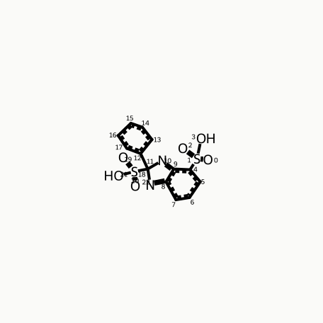 O=S(=O)(O)c1cccc2c1=NC(c1ccccc1)(S(=O)(=O)O)N=2